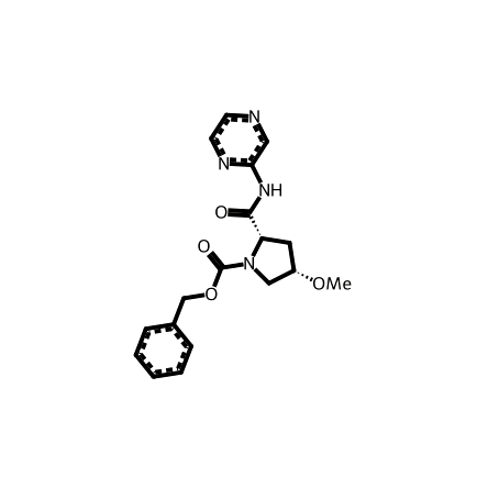 CO[C@H]1C[C@@H](C(=O)Nc2cnccn2)N(C(=O)OCc2ccccc2)C1